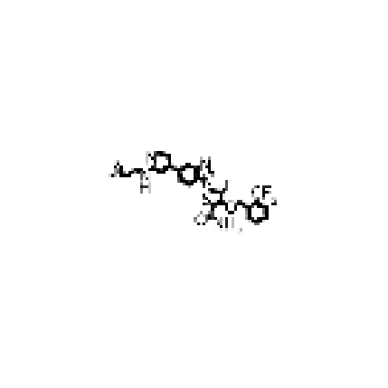 C[C@@H](Oc1c(C(N)=O)sc(-n2cnc3cc(-c4ccnc(NCCN(C)C)c4)ccc32)c1F)c1ccccc1C(F)(F)F